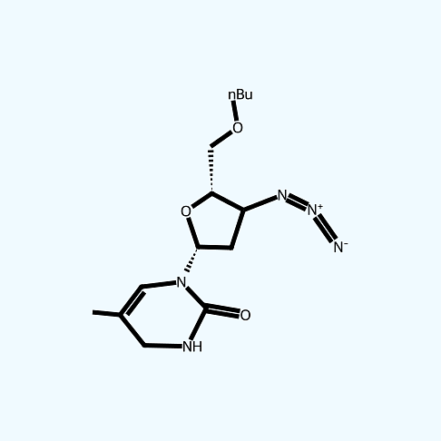 CCCCOC[C@H]1O[C@@H](N2C=C(C)CNC2=O)CC1N=[N+]=[N-]